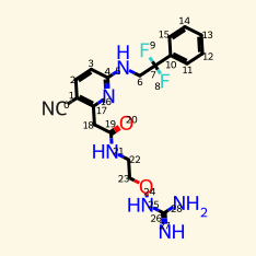 N#Cc1ccc(NCC(F)(F)c2ccccc2)nc1CC(=O)NCCONC(=N)N